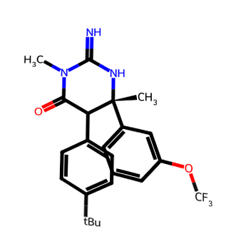 CN1C(=N)N[C@](C)(c2cccc(OC(F)(F)F)c2)C(c2ccc(C(C)(C)C)cc2)C1=O